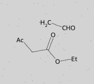 CCOC(=O)CC(C)=O.[CH2]C=O